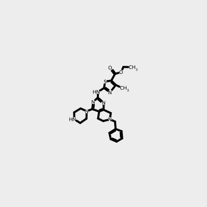 CCOC(=O)c1sc(Nc2nc3c(c(N4CCNCC4)n2)CCN(Cc2ccccc2)C3)nc1C